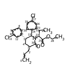 C=CC[C@H]1C[C@H](c2cccc(Cl)c2)C(c2ccc(Cl)cc2)N([C@@H](CC)C(=O)OCC)C1=O